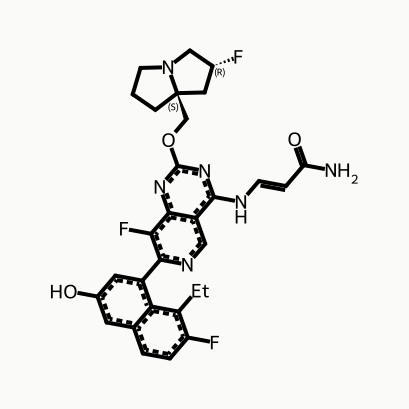 CCc1c(F)ccc2cc(O)cc(-c3ncc4c(NC=CC(N)=O)nc(OC[C@@]56CCCN5C[C@H](F)C6)nc4c3F)c12